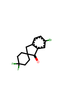 O=C1c2cc(Br)ccc2CC12C[CH]C(F)(F)CC2